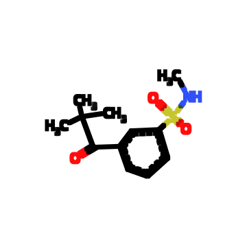 CNS(=O)(=O)c1cccc(C(=O)C(C)(C)C)c1